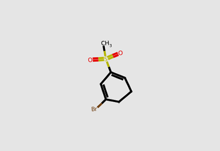 CS(=O)(=O)C1=CC[CH]C(Br)=C1